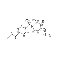 CCCC1CCC(C(=O)c2ccc(OCC)c(F)c2C)CC1